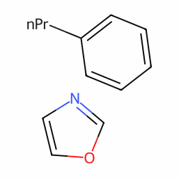 CCCc1ccccc1.c1cocn1